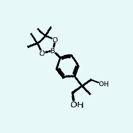 CC(CO)(CO)c1ccc(B2OC(C)(C)C(C)(C)O2)cc1